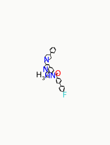 Cc1c(NC(=O)c2ccc(-c3ccc(F)cc3)cc2)ccc2cc(CN3CCC(c4ccccc4)CC3)cnc12